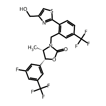 C[C@H]1[C@@H](c2cc(F)cc(C(F)(F)F)c2)OC(=O)N1Cc1cc(C(F)(F)F)ccc1-c1nc(CO)cs1